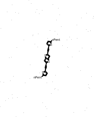 CCCCCc1ccc(C#Cc2cc3sc(C#Cc4ccc(CCCCC)s4)cc3s2)s1